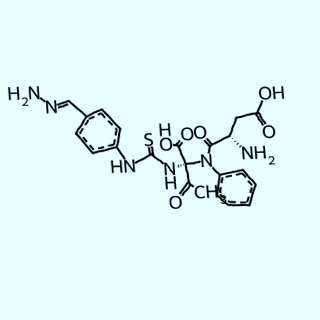 CC(=O)[C@@](NC(=S)Nc1ccc(C=NN)cc1)(C(=O)O)N(C(=O)[C@@H](N)CC(=O)O)c1ccccc1